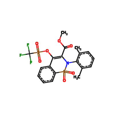 COC(=O)C1=C(OS(=O)(=O)C(F)(F)F)c2ccccc2S(=O)(=O)N1c1c(C)cccc1C